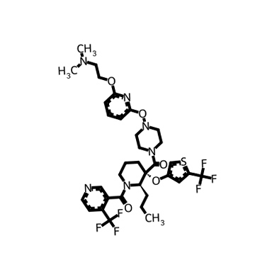 CCC[C@H]1N(C(=O)c2cnccc2C(F)(F)F)CCC[C@@]1(Oc1csc(C(F)(F)F)c1)C(=O)N1CCN(Oc2cccc(OCCN(C)C)n2)CC1